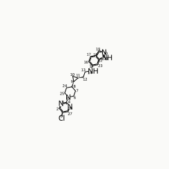 Clc1cnc(N2CCC([C@H]3C[C@H]3CCNc3ccc4cn[nH]c4c3)CC2)nc1